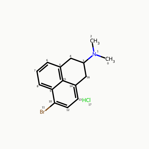 CN(C)C1Cc2cccc3c(Br)ccc(c23)C1.Cl